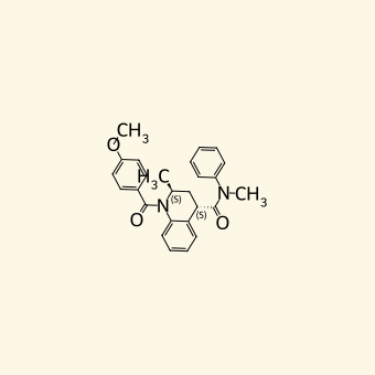 COc1ccc(C(=O)N2c3ccccc3[C@@H](C(=O)N(C)c3ccccc3)C[C@@H]2C)cc1